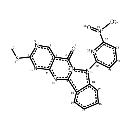 CSc1ncc2c(=O)n3c(nc2n1)c1ccccc1n3-c1cccc([N+](=O)[O-])n1